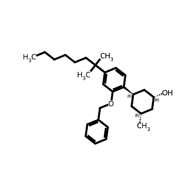 CCCCCCC(C)(C)c1ccc([C@@H]2C[C@@H](C)C[C@@H](O)C2)c(OCc2ccccc2)c1